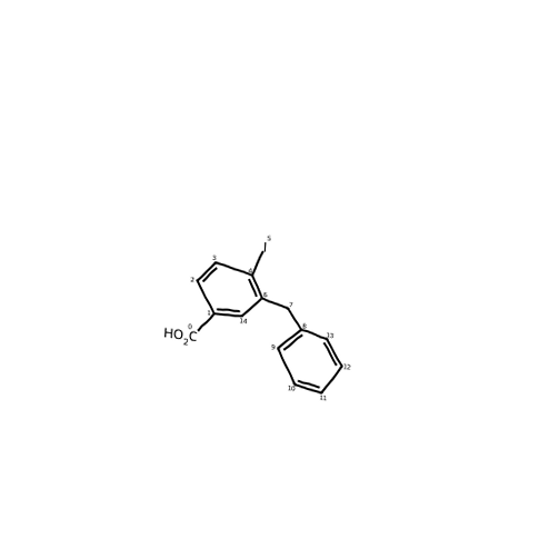 O=C(O)c1ccc(I)c(Cc2ccccc2)c1